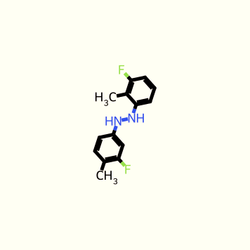 Cc1ccc(NNc2cccc(F)c2C)cc1F